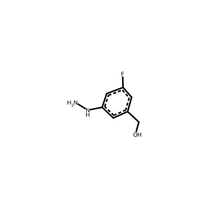 NNc1cc(F)cc(CO)c1